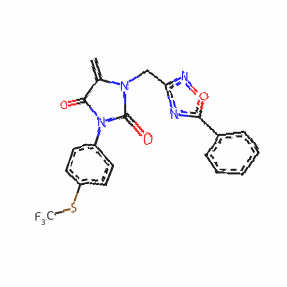 C=C1C(=O)N(c2ccc(SC(F)(F)F)cc2)C(=O)N1Cc1noc(-c2ccccc2)n1